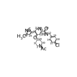 CC(=O)N1CCC(Oc2cc(C(=O)NCc3ccc(Cl)cc3)ncc2-c2cc(C)ns2)CC1